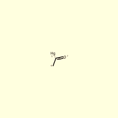 CC=O.[Hg]